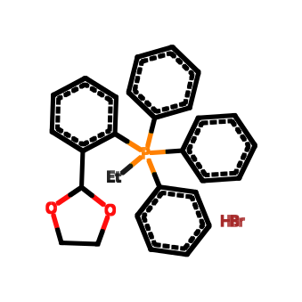 Br.CCP(c1ccccc1)(c1ccccc1)(c1ccccc1)c1ccccc1C1OCCO1